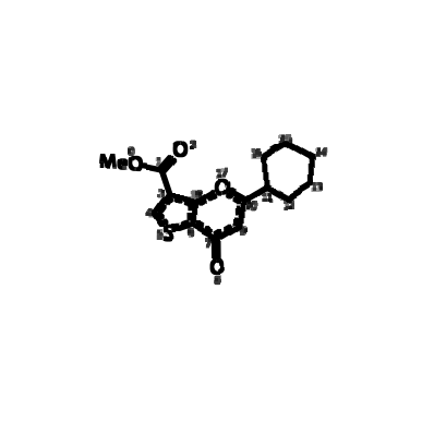 COC(=O)c1csc2c(=O)cc(C3CCCCC3)oc12